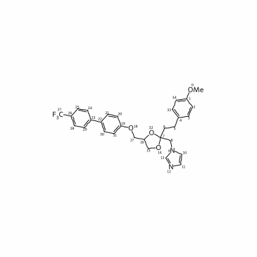 COc1ccc(CCC2(Cn3ccnc3)OCC(COc3ccc(-c4ccc(C(F)(F)F)cc4)cc3)O2)cc1